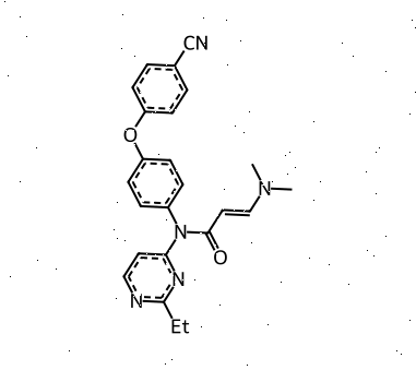 CCc1nccc(N(C(=O)C=CN(C)C)c2ccc(Oc3ccc(C#N)cc3)cc2)n1